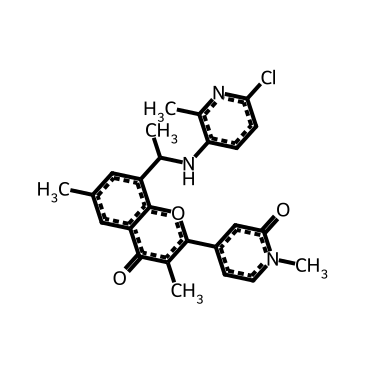 Cc1cc(C(C)Nc2ccc(Cl)nc2C)c2oc(-c3ccn(C)c(=O)c3)c(C)c(=O)c2c1